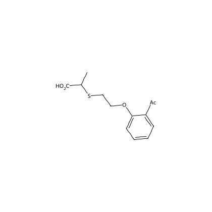 CC(=O)c1ccccc1OCCSC(C)C(=O)O